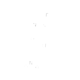 O=[N+]([O-])c1ccc(OCc2ncc(F)s2)c(Cl)c1